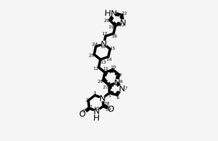 O=C1CCN(c2cnn3ccc(CC4CCN(CCc5c[nH]cn5)CC4)cc23)C(=O)N1